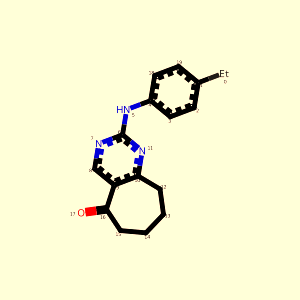 CCc1ccc(Nc2ncc3c(n2)CCCCC3=O)cc1